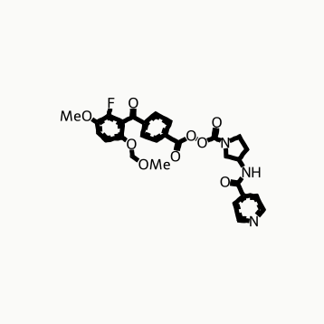 COCOc1ccc(OC)c(F)c1C(=O)c1ccc(C(=O)OOC(=O)N2CCC(NC(=O)c3ccncc3)C2)cc1